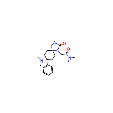 CN(C)C(=O)CN1C(=O)NC[C@]12CC[C@@](c1ccccc1)(N(C)C)CC2